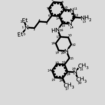 CCN(CC)CCCc1cccc2nc(N)nc(NC3CCN(Cc4cccc(C)c4N(C)C)CC3)c12